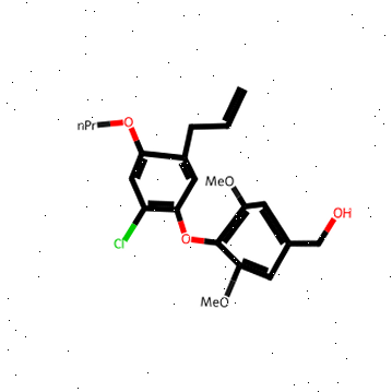 C=CCc1cc(Oc2c(OC)cc(CO)cc2OC)c(Cl)cc1OCCC